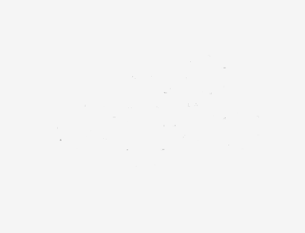 c1ccc2c(c1)oc1ccc(-c3c4ccccc4c(-c4cc5oc6ccccc6c5c5c4oc4ccccc45)c4ccccc34)cc12